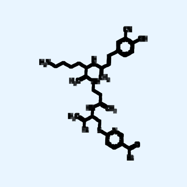 C=C(/C=C/c1ccc(O)c(C#N)c1)NC(CCCCN)C(=C)NCCC(=C)NC(CSc1ccc(C(=O)CC)cn1)C(=C)CC